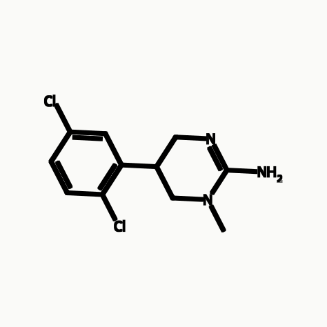 CN1CC(c2cc(Cl)ccc2Cl)CN=C1N